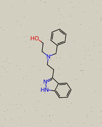 OCCN(CCc1n[nH]c2ccccc12)Cc1ccccc1